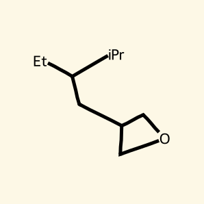 CCC(CC1COC1)C(C)C